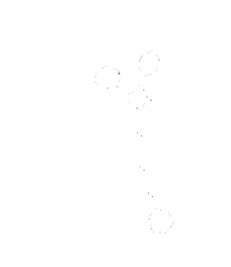 c1ccc(N2CCN(CCNCc3cc(-c4ccc(C5CCCCC5)cc4)n(-c4ccccc4)n3)CC2)cc1